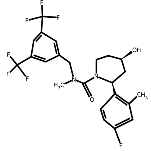 Cc1cc(F)ccc1[C@@H]1C[C@H](O)CCN1C(=O)N(C)Cc1cc(C(F)(F)F)cc(C(F)(F)F)c1